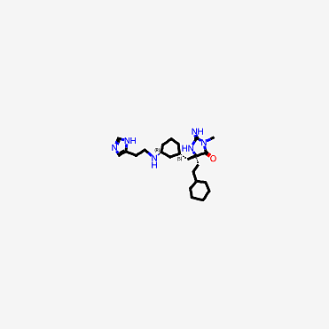 CN1C(=N)N[C@](CCC2CCCCC2)(C[C@H]2CCC[C@@H](NCCc3cnc[nH]3)C2)C1=O